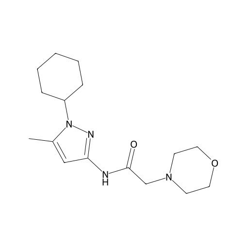 Cc1cc(NC(=O)CN2CCOCC2)nn1C1CCCCC1